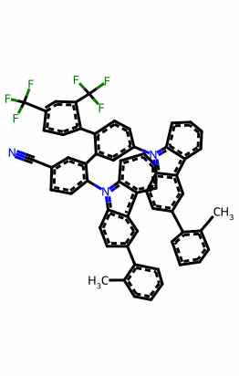 Cc1ccccc1-c1ccc2c(c1)c1ccccc1n2-c1ccc(-c2ccc(C(F)(F)F)cc2C(F)(F)F)c(-c2cc(C#N)ccc2-n2c3ccccc3c3cc(-c4ccccc4C)ccc32)c1